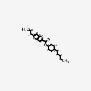 CCCCCC1CCC(OC(=O)c2cc3sc(CCC)cc3s2)CC1